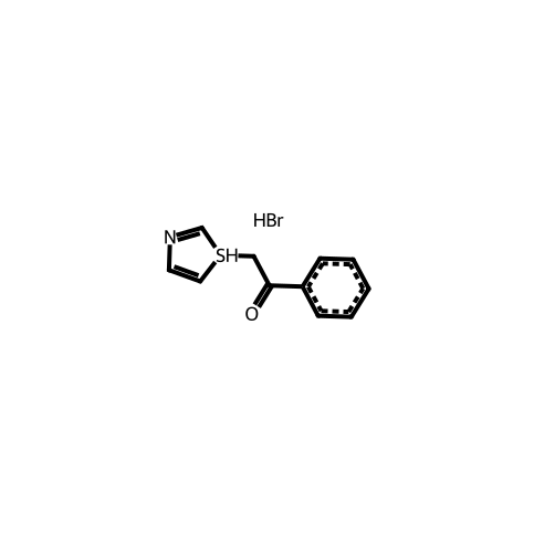 Br.O=C(C[SH]1C=CN=C1)c1ccccc1